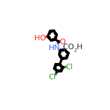 O=C(Nc1cc(-c2ccc(Cl)cc2Cl)ccc1C(=O)O)c1cccc(O)c1